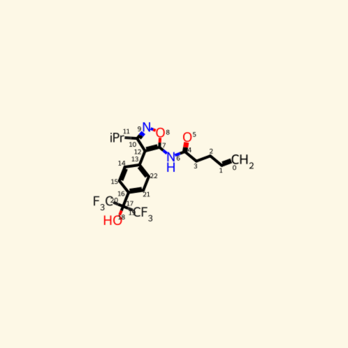 C=CCCC(=O)Nc1onc(C(C)C)c1-c1ccc(C(O)(C(F)(F)F)C(F)(F)F)cc1